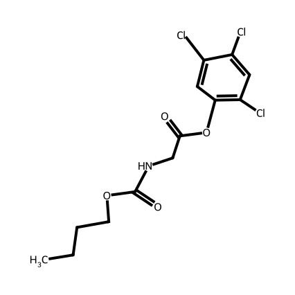 CCCCOC(=O)NCC(=O)Oc1cc(Cl)c(Cl)cc1Cl